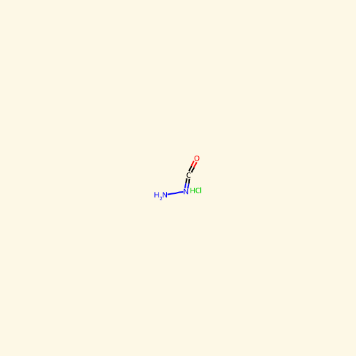 Cl.NN=C=O